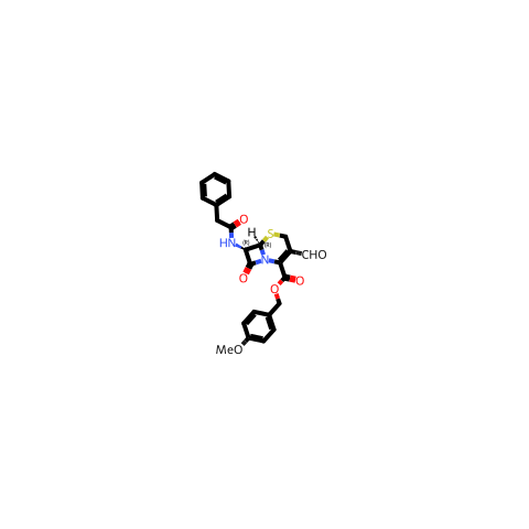 COc1ccc(COC(=O)C2=C(C=O)CS[C@@H]3[C@H](NC(=O)Cc4ccccc4)C(=O)N23)cc1